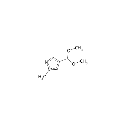 COC(OC)c1cnn(C)c1